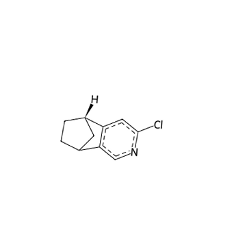 Clc1cc2c(cn1)C1CC[C@H]2C1